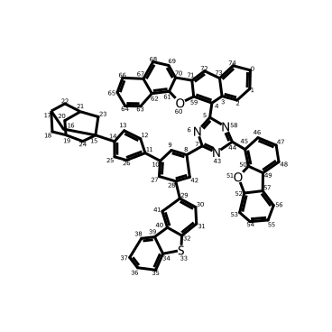 c1ccc2c(-c3nc(-c4cc(-c5ccc(C67CC8CC(CC(C8)C6)C7)cc5)cc(-c5ccc6sc7ccccc7c6c5)c4)nc(-c4cccc5c4oc4ccccc45)n3)c3oc4c5ccccc5ccc4c3cc2c1